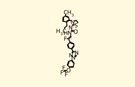 CCCc1ccc(C)cc1N1CCS/C1=N\C(=O)N/C=C(\F)c1ccc(-c2ncn(-c3ccc(OC(F)(F)F)cc3)n2)cc1